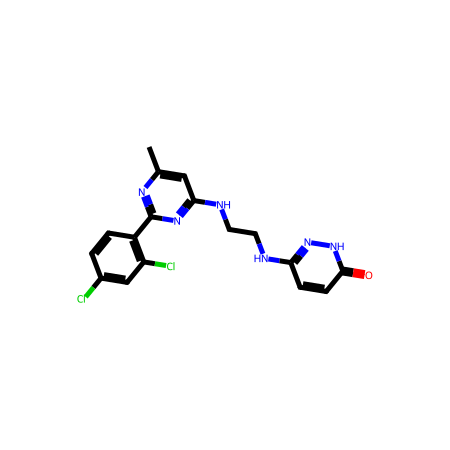 Cc1cc(NCCNc2ccc(=O)[nH]n2)nc(-c2ccc(Cl)cc2Cl)n1